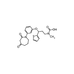 CN(CCC(Oc1cccc(N2CCCC(=O)CC2=O)c1)c1cccs1)C(=O)O